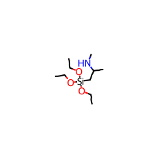 CCO[Si](CC(C)NC)(OCC)OCC